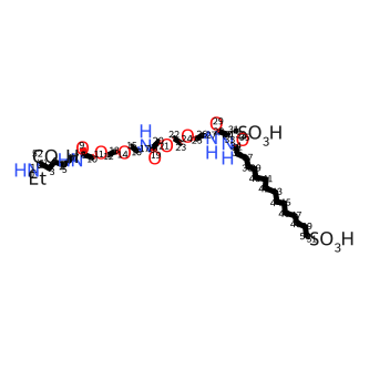 CCN[C@@H](CCCCNC(=O)COCCOCCNC(=O)COCCOCCNC(=O)[C@H](CS(=O)(=O)O)NC(=O)CCCCCCCCCCCCCCCS(=O)(=O)O)C(=O)O